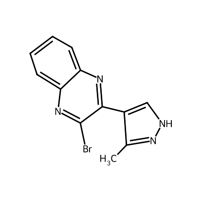 Cc1n[nH]cc1-c1nc2ccccc2nc1Br